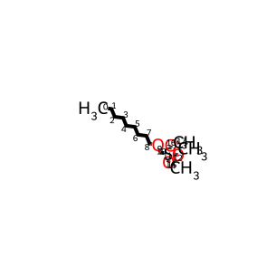 CCCCCCCCCOC[Si](OC)(OC)OC